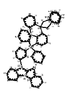 c1ccc([Si](c2ccccc2)(c2cccc(-n3c4ccccc4n4c5ccccc5nc34)c2)c2cccc3c2Oc2ccccc2C3(Cc2ncncn2)Cc2ncncn2)cc1